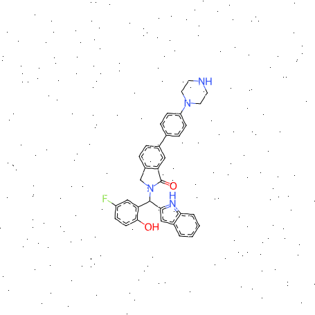 O=C1c2cc(-c3ccc(N4CCNCC4)cc3)ccc2CN1C(c1cc2ccccc2[nH]1)c1cc(F)ccc1O